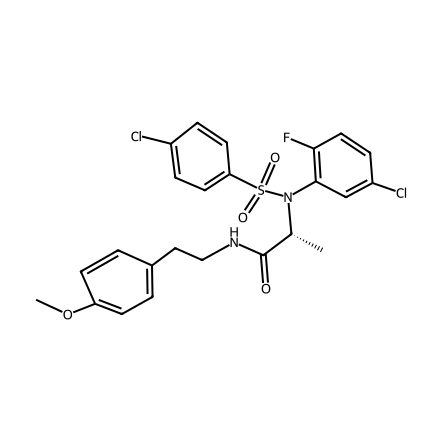 COc1ccc(CCNC(=O)[C@@H](C)N(c2cc(Cl)ccc2F)S(=O)(=O)c2ccc(Cl)cc2)cc1